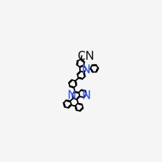 N#Cc1ccc2c3cc(-c4cccc(-c5nc6c7ccccc7c7ccccc7c6c6cnccc56)c4)ccc3n(-c3ccccc3)c2c1